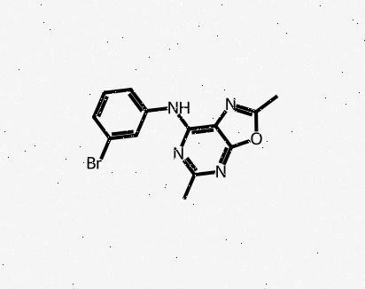 Cc1nc(Nc2cccc(Br)c2)c2nc(C)oc2n1